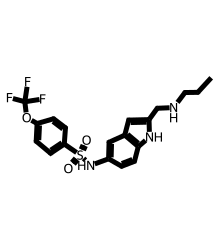 CCCNCc1cc2cc(NS(=O)(=O)c3ccc(OC(F)(F)F)cc3)ccc2[nH]1